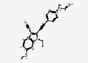 CCn1c(C#Cc2ccc(NC=O)cc2)c(C#N)c2ccc(OC)cc21